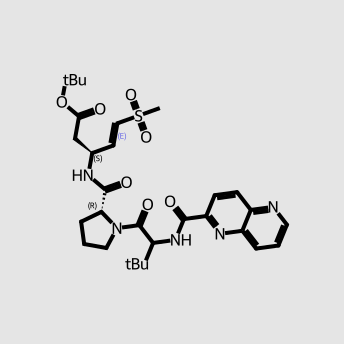 CC(C)(C)OC(=O)C[C@@H](/C=C/S(C)(=O)=O)NC(=O)[C@H]1CCCN1C(=O)C(NC(=O)c1ccc2ncccc2n1)C(C)(C)C